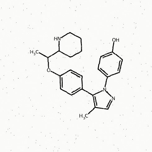 Cc1cnn(-c2ccc(O)cc2)c1-c1ccc(OC(C)C2CCCCN2)cc1